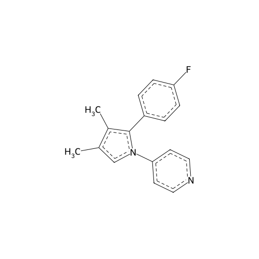 Cc1cn(-c2ccncc2)c(-c2ccc(F)cc2)c1C